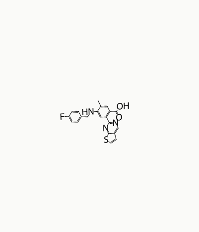 Cc1cc(C(=O)O)c(-c2ncc3ccsc3n2)cc1NCc1ccc(F)cc1